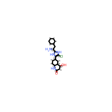 N[C@@H](CC1CCCCC1)C1NC(Cl)=C(C2CCC3NC(=O)CC(O)C3C2)N1